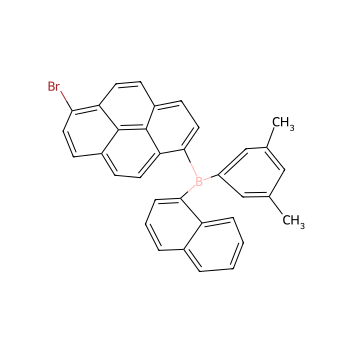 Cc1cc(C)cc(B(c2cccc3ccccc23)c2ccc3ccc4c(Br)ccc5ccc2c3c54)c1